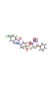 O=C(Nc1ccc(S(=O)(=O)CC(COc2ccccc2)C(=O)NO)cc1)c1ccc(Cl)cc1